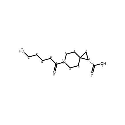 O=C(O)[C@H]1CC12CCN(C(=O)CCCCO)CC2